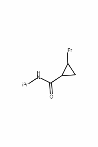 CC(C)NC(=O)C1CC1C(C)C